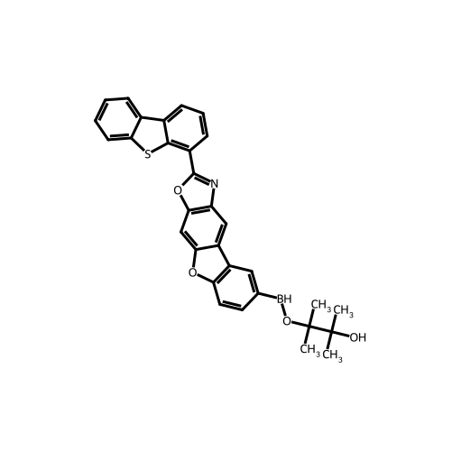 CC(C)(O)C(C)(C)OBc1ccc2oc3cc4oc(-c5cccc6c5sc5ccccc56)nc4cc3c2c1